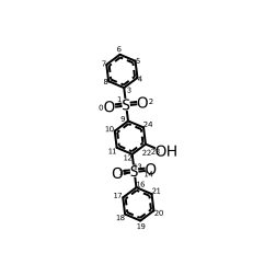 O=S(=O)(c1ccccc1)c1ccc(S(=O)(=O)c2ccccc2)c(O)c1